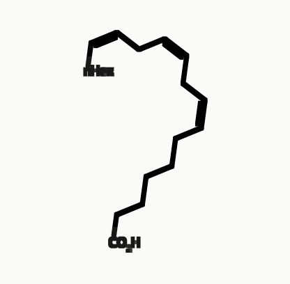 CCCCCC/C=C\C/C=C\C/C=C\CCCCCC(=O)O